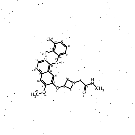 CNC(=O)CN1CC(Oc2cc3c(Nc4cccc(Cl)c4F)ncnc3cc2OC)C1